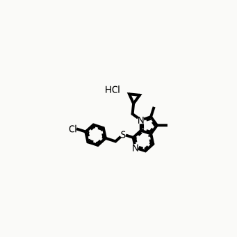 Cc1c(C)n(CC2CC2)c2c(SCc3ccc(Cl)cc3)nccc12.Cl